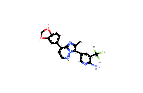 Cc1nc2c(-c3ccc4c(c3)OCO4)ccnn2c1-c1cnc(N)c(C(F)(F)F)c1